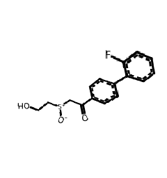 O=C(C[S+]([O-])CCO)c1ccc(-c2ccccc2F)cc1